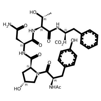 CC(=O)N[C@H](Cc1ccc(O)cc1)C(=O)N1C[C@H](O)C[C@H]1C(=O)N[C@@H](CC(N)=O)C(=O)N[C@H](C(=O)N[C@@H](Cc1ccccc1)C(=O)O)[C@@H](C)O